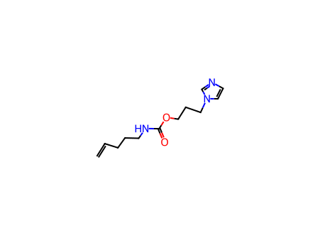 C=CCCCNC(=O)OCCCn1ccnc1